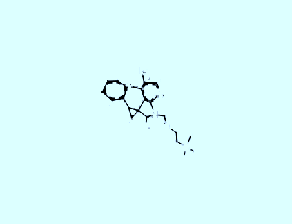 [2H]C1N(COCC[Si](C)(C)C)c2ncc(Br)c(Cl)c2C12CC2c1ccccc1